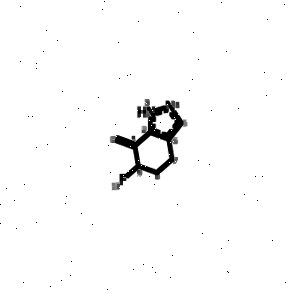 C=C1c2[nH]ncc2CCC1F